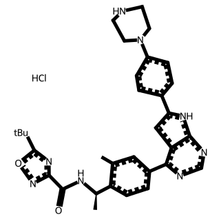 Cc1cc(-c2ncnc3[nH]c(-c4ccc(N5CCNCC5)cc4)cc23)ccc1[C@@H](C)NC(=O)c1noc(C(C)(C)C)n1.Cl